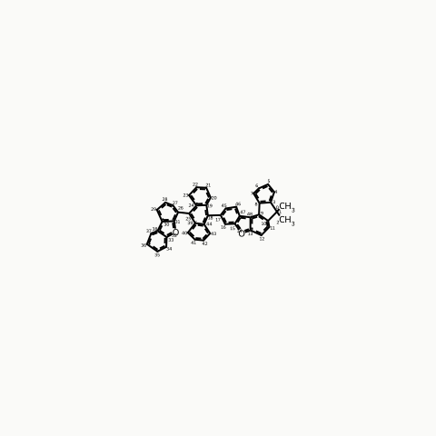 CC1(C)c2ccccc2-c2c1ccc1oc3cc(-c4c5ccccc5c(-c5cccc6c5oc5ccccc56)c5ccccc45)ccc3c21